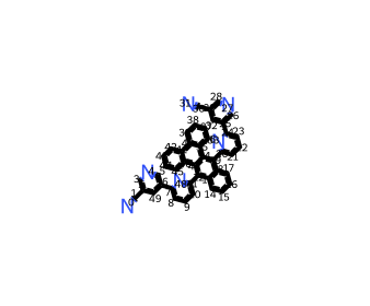 N#Cc1cncc(-c2cccc(-c3c4ccccc4c(-c4cccc(-c5cncc(C#N)c5)n4)c4c5ccccc5c5ccccc5c34)n2)c1